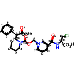 COC(=O)[C@H](c1ccccc1)[C@H]1CCCCN1C(=O)OC[n+]1cccc(C(=O)N[C@@H](CCl)C(=O)O)c1